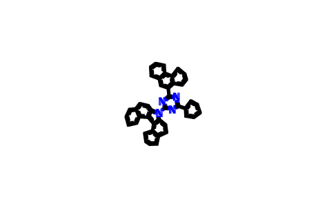 c1ccc(-c2nc(-c3cc4ccccc4c4ccccc34)nc(-n3c4ccc5ccccc5c4c4c5ccccc5ccc43)n2)cc1